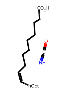 CCCCCCCC/C=C\CCCCCCCC(=O)O.N=C=O